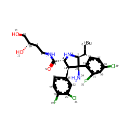 CC(C)(C)C[C@@H]1N[C@@H](C(=O)NCC[C@H](O)CO)[C@H](c2ccc(F)c(Cl)c2)[C@@]1(N)c1ccc(Cl)cc1F